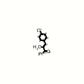 C/C(=C\c1ccc(Cl)cc1)C(=O)C(C)C